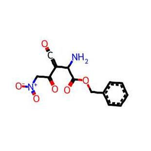 NC(C(=O)OCc1ccccc1)C(=C=O)C(=O)C[N+](=O)[O-]